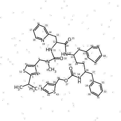 CC(C)c1nc(CN(C)C(=O)NC(Cc2ccccn2)C(=O)NC(CCC(Cc2ccccc2)NC(=O)OCc2cncs2)Cc2ccccc2)cs1